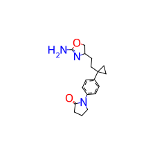 NC1=NC(CCC2(c3ccc(N4CCCC4=O)cc3)CC2)CO1